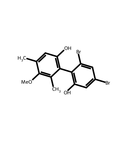 COc1c(C)cc(O)c(-c2c(O)cc(Br)cc2Br)c1C